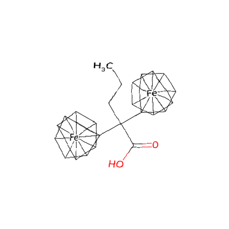 CCCC(C(=O)O)([C]12[CH]3[CH]4[CH]5[CH]1[Fe]45321678[CH]2[CH]1[CH]6[CH]7[CH]28)[C]12[CH]3[CH]4[CH]5[CH]1[Fe]45321678[CH]2[CH]1[CH]6[CH]7[CH]28